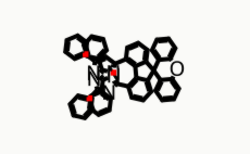 c1ccc(-c2cc(-c3cccc4c3-c3c(-c5nc(-c6ccccc6)nc(-c6ccccc6)n5)cccc3C43c4ccccc4Oc4ccccc43)nc(-c3ccccc3)n2)cc1